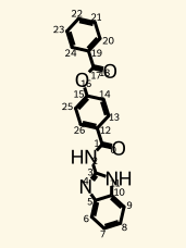 O=C(Nc1nc2ccccc2[nH]1)c1ccc(OC(=O)c2ccccc2)cc1